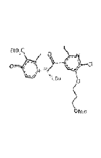 CCOC(=O)c1c(C)n([C@H](C(=O)c2cc(OCCCOC)c(Cl)nc2I)C(C)(C)C)ccc1=O